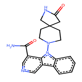 NC(=O)c1cncc2c3ccccc3n(N3CCC4(CC3)CNC(=O)C4)c12